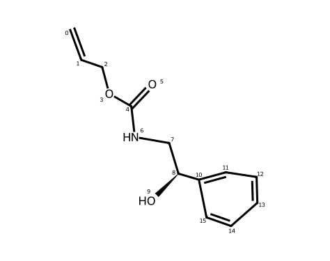 C=CCOC(=O)NC[C@H](O)c1ccccc1